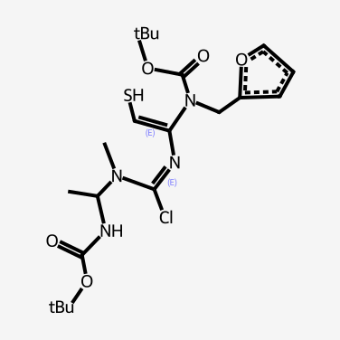 CC(NC(=O)OC(C)(C)C)N(C)/C(Cl)=N\C(=C\S)N(Cc1ccco1)C(=O)OC(C)(C)C